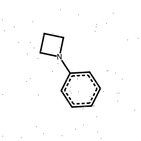 [c]1ccc(N2CCC2)cc1